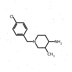 CC1CN(Cc2ccc(Cl)cc2)CCC1N